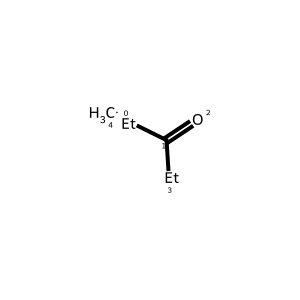 CCC(=O)CC.[CH3]